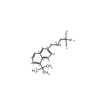 CC(C)(C)c1nccc2cc(CNCC(F)(F)F)cnc12